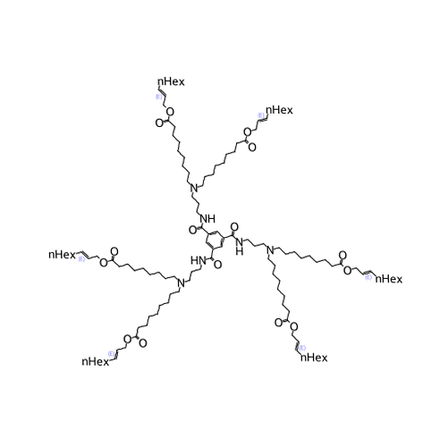 CCCCCC/C=C/COC(=O)CCCCCCCCN(CCCCCCCCC(=O)OC/C=C/CCCCCC)CCCNC(=O)c1cc(C(=O)NCCCN(CCCCCCCCC(=O)OC/C=C/CCCCCC)CCCCCCCCC(=O)OC/C=C/CCCCCC)cc(C(=O)NCCCN(CCCCCCCCC(=O)OC/C=C/CCCCCC)CCCCCCCCC(=O)OC/C=C/CCCCCC)c1